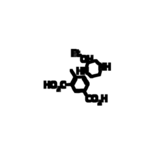 C1CNCCN1.CCO.Cc1ccc(C(=O)O)cc1C(=O)O